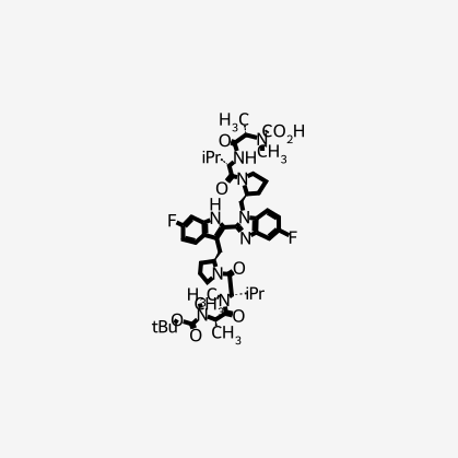 CC(C)[C@H](NC(=O)[C@H](C)N(C)C(=O)O)C(=O)N1CCC[C@H]1Cn1c(-c2[nH]c3cc(F)ccc3c2C[C@@H]2CCCN2C(=O)[C@H](C(C)C)N(C)C(=O)[C@H](C)N(C)C(=O)OC(C)(C)C)nc2cc(F)ccc21